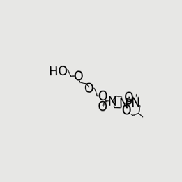 CC1COP(=O)(N2CCN(C(=O)OCCOCCOCCO)CC2)N(C)C1